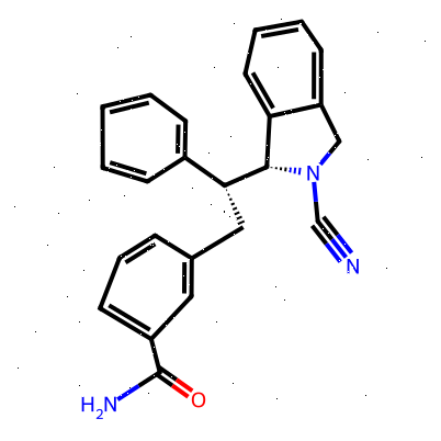 N#CN1Cc2ccccc2[C@H]1[C@H](Cc1cccc(C(N)=O)c1)c1ccccc1